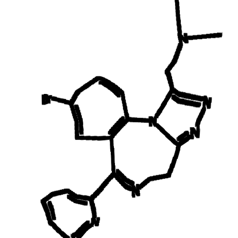 CN(C)Cc1nnc2n1-c1ccc(Br)cc1C(c1ccccn1)=NC2